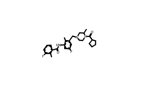 Cc1c(CN2CCN(C(=O)C3CCCC3)C(C)C2)cc(F)cc1NC(=O)c1cccc(F)c1C